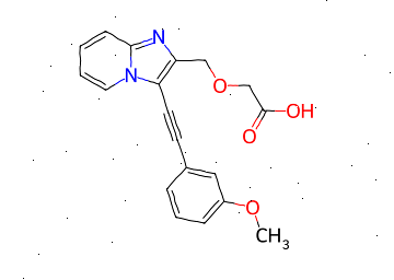 COc1cccc(C#Cc2c(COCC(=O)O)nc3ccccn23)c1